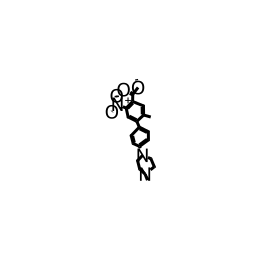 COC(=O)c1cc(C)c(-c2ccc(N3CCN(C)CC3)cc2)cc1[N+](=O)[O-]